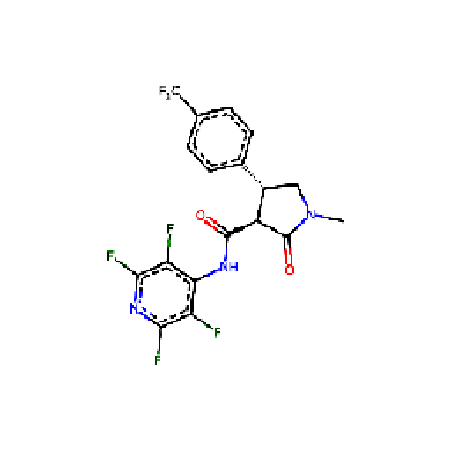 CN1C[C@@H](c2ccc(C(F)(F)F)cc2)[C@H](C(=O)Nc2c(F)c(F)nc(F)c2F)C1=O